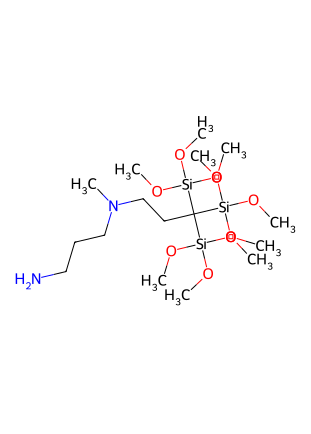 CO[Si](OC)(OC)C(CCN(C)CCCN)([Si](OC)(OC)OC)[Si](OC)(OC)OC